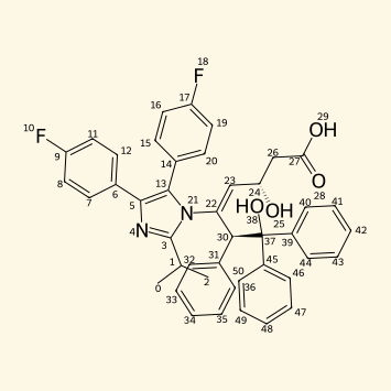 CC(C)c1nc(-c2ccc(F)cc2)c(-c2ccc(F)cc2)n1/C(=C/[C@@H](O)CC(=O)O)[C@H](c1ccccc1)C(O)(c1ccccc1)c1ccccc1